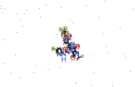 CC(C)N1Cc2c(n(CC(=O)Nc3ccc(F)cn3)c3cc(C4CCN(S(=O)(=O)CC(F)(F)F)C4)nn3c2=O)C1=O